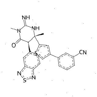 CN1C(=N)N[C@](C)(c2cc(-c3cccc(C#N)c3)cs2)[C@@H](c2ccc3nsnc3c2)C1=O